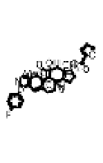 CSC(=O)[C@]1(O)C[C@]2(C)[C@H](OC(=O)c3ccco3)CC[C@H]2[C@@H]2CCC3=Cc4c(cnn4-c4ccc(F)cc4)C[C@]3(C)[C@H]21